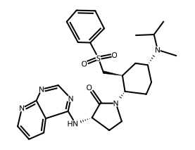 CC(C)N(C)[C@@H]1CC[C@H](N2CC[C@H](Nc3ncnc4ncccc34)C2=O)[C@@H](CS(=O)(=O)c2ccccc2)C1